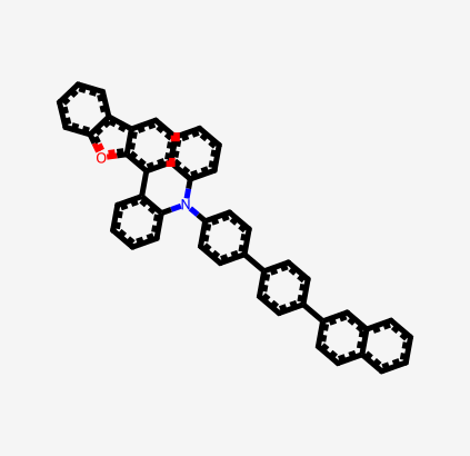 c1ccc(N(c2ccc(-c3ccc(-c4ccc5ccccc5c4)cc3)cc2)c2ccccc2-c2cccc3c2oc2ccccc23)cc1